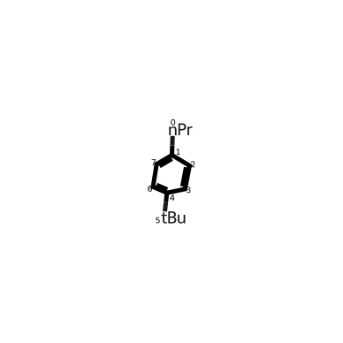 [CH]CCc1ccc(C(C)(C)C)cc1